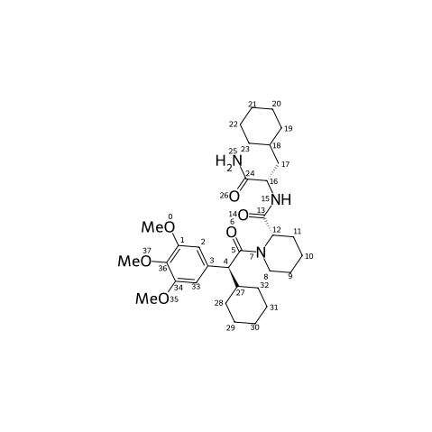 COc1cc([C@@H](C(=O)N2CCCC[C@H]2C(=O)N[C@@H](CC2CCCCC2)C(N)=O)C2CCCCC2)cc(OC)c1OC